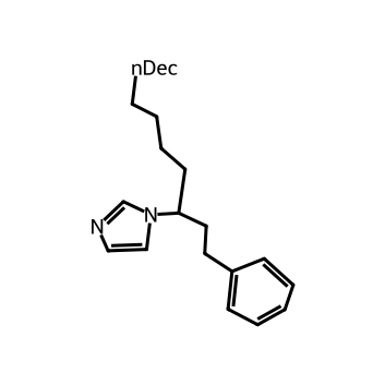 CCCCCCCCCCCCCCC(CCc1ccccc1)n1ccnc1